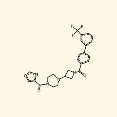 O=C(c1ccc(-c2cccc(C(F)(F)F)c2)cc1)N1CC(N2CCN(C(=O)c3cocn3)CC2)C1